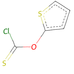 S=C(Cl)Oc1cccs1